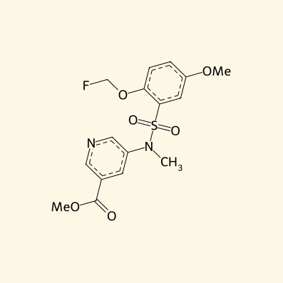 COC(=O)c1cncc(N(C)S(=O)(=O)c2cc(OC)ccc2OCF)c1